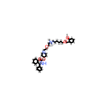 COc1ccccc1COCCCCCC[N+](C)(C)CCOCCN1CCC(OC(=O)NC(c2ccccc2)c2ccccc2)CC1